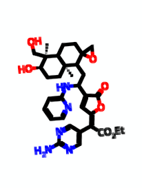 CCOC(=O)/C(=C1/C=C(C(CC2C3(CCC4[C@]2(C)CC[C@@H](O)[C@@]4(C)CO)CO3)Nc2ccccn2)C(=O)O1)c1cnc(N)nc1